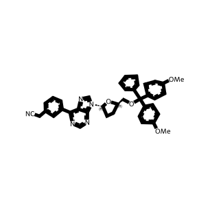 COc1ccc(C(OC[C@H]2[CH]C[C@H](n3cnc4c(-c5cccc(CC#N)c5)ncnc43)O2)(c2ccccc2)c2ccc(OC)cc2)cc1